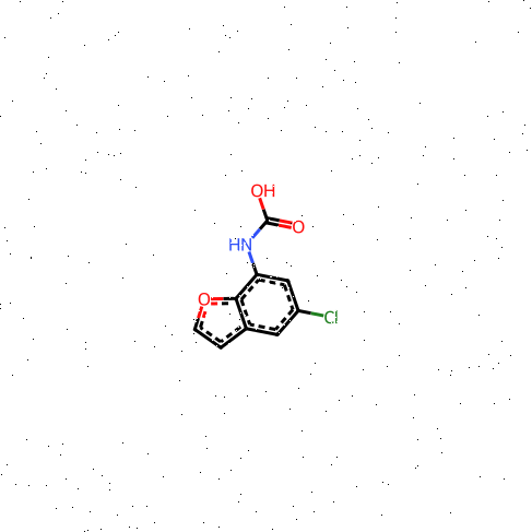 O=C(O)Nc1cc(Cl)cc2ccoc12